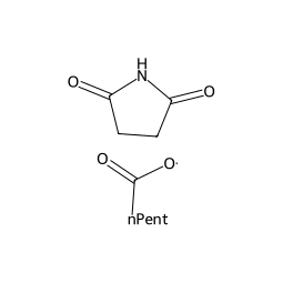 CCCCCC([O])=O.O=C1CCC(=O)N1